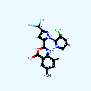 Cc1cc(C#N)cc2c(=O)oc(-c3cc(C(F)F)nn3-c3ncccc3Cl)nc12